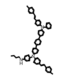 CCCCNc1ccc(N(c2ccc(/C=C/c3ccc(C)cc3)cc2)c2ccc(-c3ccc(-c4ccc(N(c5ccccc5)c5ccc(/C=C/c6ccc(C)cc6)cc5)cc4)cc3)cc2)cc1